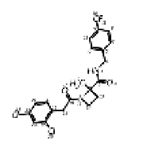 CC1(C(=O)NCc2ccc(C(F)(F)F)cc2)CCN1C(=O)Cc1ccc(Cl)cc1Cl